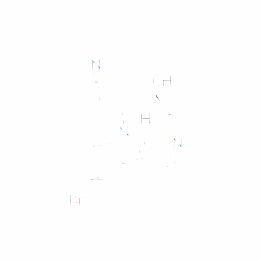 CC[C@H]1CCN2CCc3c(n(CCC#N)c4ccc(Br)cc34)[C@@H]12